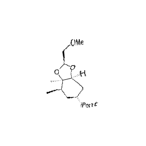 CCC[C@@H](C)[C@H]1C[C@@H](C)[C@@]2(C)O[C@@H](COC)O[C@H]2C1